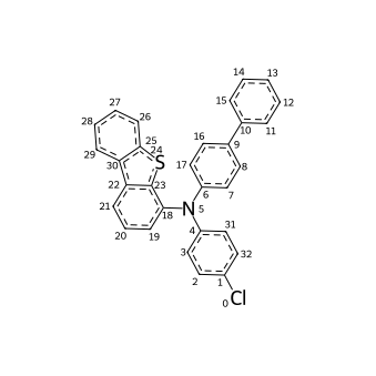 Clc1ccc(N(c2ccc(-c3ccccc3)cc2)c2cccc3c2sc2ccccc23)cc1